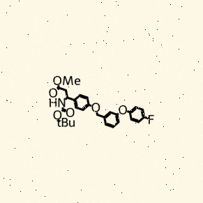 COC(=O)CC(NC(=O)OC(C)(C)C)c1ccc(OCc2cccc(Oc3ccc(F)cc3)c2)cc1